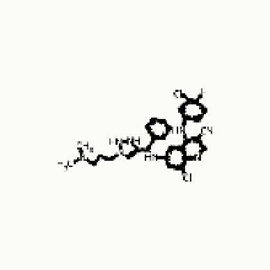 CN(C)CCCN1C=C([C@@H](Nc2cc(Cl)c3ncc(C#N)c(Nc4ccc(F)c(Cl)c4)c3c2)c2ccccc2)NN1